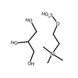 C[N+](C)(C)CCOS(=O)(=O)O.OCC(O)CO